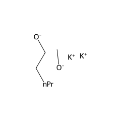 CCCCC[O-].C[O-].[K+].[K+]